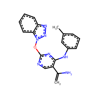 C=C(N)c1cnc(On2nnc3ccccc32)nc1Nc1cccc(C)c1